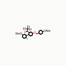 CCC(CC)(CC)C(=O)c1cc(OCc2ccc(OC)cc2)ccc1-c1cc(OC)ccc1F